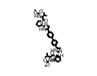 COC(=O)N[C@H](C(=O)N1CCC[C@H]1c1ncc(-c2ccc(-c3ccc(-c4cnc([C@@H]5[C@H]6CC[C@H](C6)N5C(=O)[C@@H](NC(=O)OC)C(C)C)[nH]4)cc3)cc2)[nH]1)C(C)C